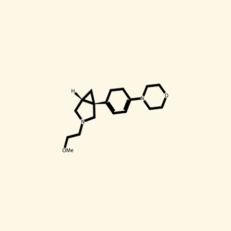 COCCN1C[C@@H]2C[C@]2(C2=CC=C(N3CCOCC3)CC2)C1